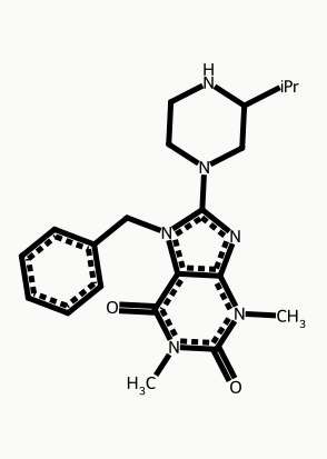 CC(C)C1CN(c2nc3c(c(=O)n(C)c(=O)n3C)n2Cc2ccccc2)CCN1